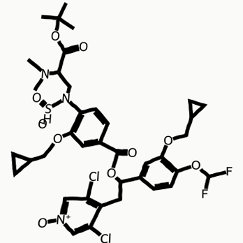 CN(C)C(CN(c1ccc(C(=O)OC(Cc2c(Cl)c[n+]([O-])cc2Cl)c2ccc(OC(F)F)c(OCC3CC3)c2)cc1OCC1CC1)[SH](=O)=O)C(=O)OC(C)(C)C